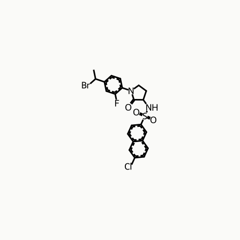 CC(Br)c1ccc(N2CCC(NS(=O)(=O)c3ccc4cc(Cl)ccc4c3)C2=O)c(F)c1